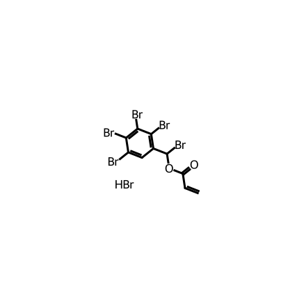 Br.C=CC(=O)OC(Br)c1cc(Br)c(Br)c(Br)c1Br